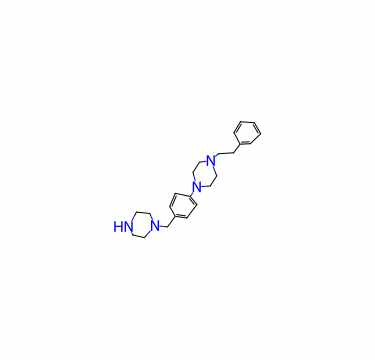 c1ccc(CCN2CCN(c3ccc(CN4CCNCC4)cc3)CC2)cc1